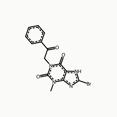 Cn1c(=O)n(CC(=O)c2ccccc2)c(=O)c2[nH]c(Br)nc21